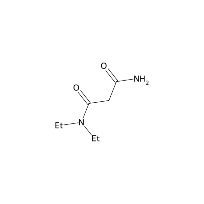 CCN(CC)C(=O)CC(N)=O